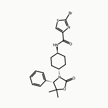 CC1(C)OC(=O)N([C@H]2CC[C@H](NC(=O)c3csc(Br)n3)CC2)[C@H]1c1ccccc1